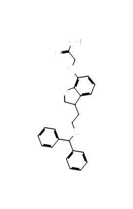 O=C(O)COc1cccc2c1OCC2CCSC(c1ccccc1)c1ccccc1